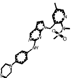 Cc1cnc(N(C)S(C)(=O)=O)c(Cn2ccc3cnc(Nc4ccc(N5CCNCC5)cc4)nc32)c1